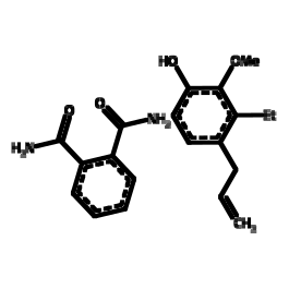 C=CCc1ccc(O)c(OC)c1CC.NC(=O)c1ccccc1C(N)=O